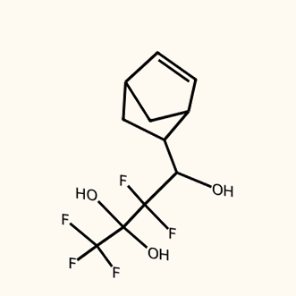 OC(C1CC2C=CC1C2)C(F)(F)C(O)(O)C(F)(F)F